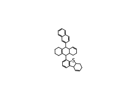 C1=CC2c3cccc(C4C5=C(CCCC5)C(c5ccc6ccccc6c5)C5C=CCCC45)c3SC2CC1